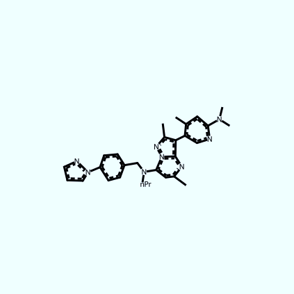 CCCN(Cc1ccc(-n2cccn2)cc1)c1cc(C)nc2c(-c3cnc(N(C)C)cc3C)c(C)nn12